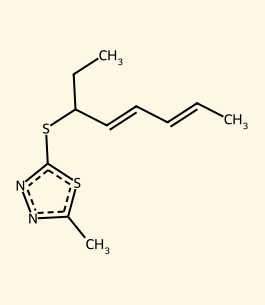 CC=CC=CC(CC)Sc1nnc(C)s1